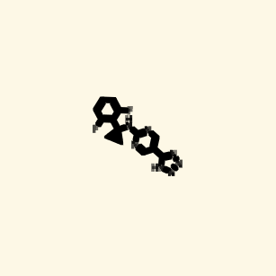 Fc1cccc(F)c1C1(Nc2ncc(-c3nnn[nH]3)cn2)CC1